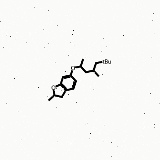 CC(CC(C)Oc1ccc2c(c1)OC(C)C2)CC(C)(C)C